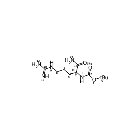 CC(C)(C)OC(=O)N[C@@H](CCCNC(=N)N)C(N)=O